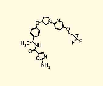 C[C@H](NC(=O)c1cnc(N)o1)c1ccc(OC2CCN(c3ccc(OCC4CC4(F)F)cn3)C2)cc1